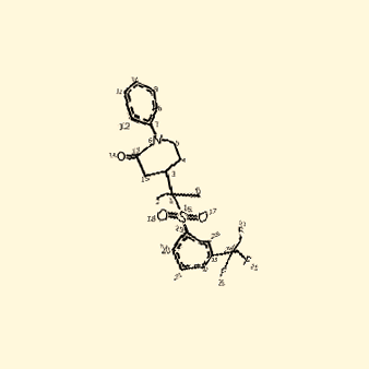 CC(C)(C1CCN(c2ccccc2)C(=O)C1)S(=O)(=O)c1cccc(C(F)(F)F)c1